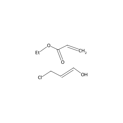 C=CC(=O)OCC.OC=CCCl